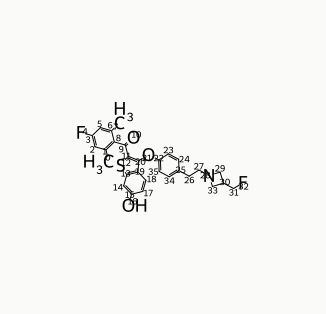 Cc1cc(F)cc(C)c1C(=O)c1sc2cc(O)ccc2c1Oc1ccc(CCN2CC(CF)C2)cc1